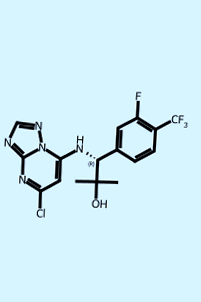 CC(C)(O)[C@H](Nc1cc(Cl)nc2ncnn12)c1ccc(C(F)(F)F)c(F)c1